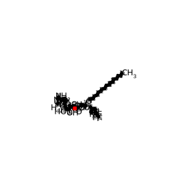 CCCCCCCCCCCCCCCCCCOC[C@H](COP(=O)(O)O/C(C)=C1/O[C@@](C)(c2ccc3c(N)ncnn23)[C@H](O)[C@@H]1O)OCc1cnc(C(F)(F)F)nc1